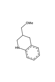 COCC1CNc2ccccc2C1